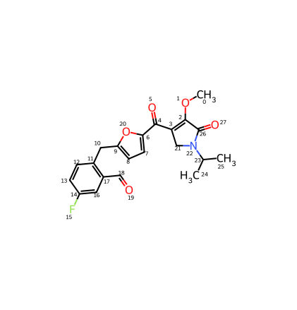 COC1=C(C(=O)c2ccc(Cc3ccc(F)cc3C=O)o2)CN(C(C)C)C1=O